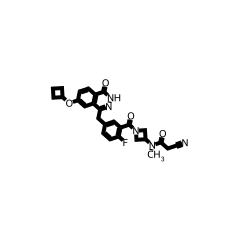 CN(C(=O)CC#N)C1CN(C(=O)c2cc(Cc3n[nH]c(=O)c4ccc(OC5CCC5)cc34)ccc2F)C1